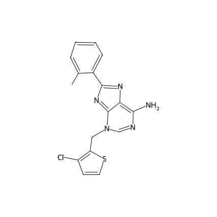 Cc1ccccc1-c1nc2c(N)ncn(Cc3sccc3Cl)c-2n1